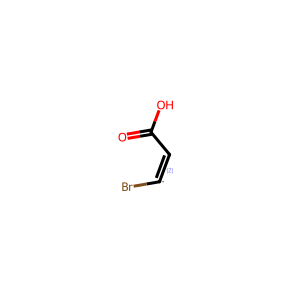 O=C(O)/C=[C]\Br